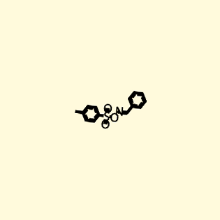 Cc1ccc(S(=O)(=O)ON=Cc2ccccc2)cc1